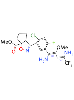 COC(=O)C12CCCC1C(c1cc(/C(N)=C(/C=C(\N)C(F)(F)F)OC)c(F)cc1Cl)=NO2